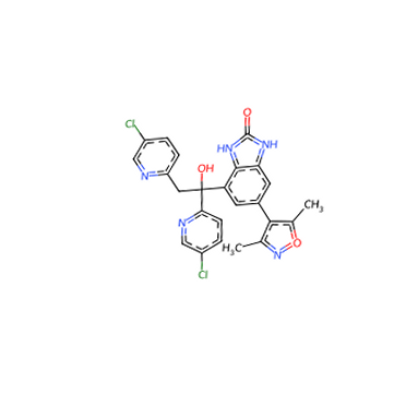 Cc1noc(C)c1-c1cc(C(O)(Cc2ccc(Cl)cn2)c2ccc(Cl)cn2)c2[nH]c(=O)[nH]c2c1